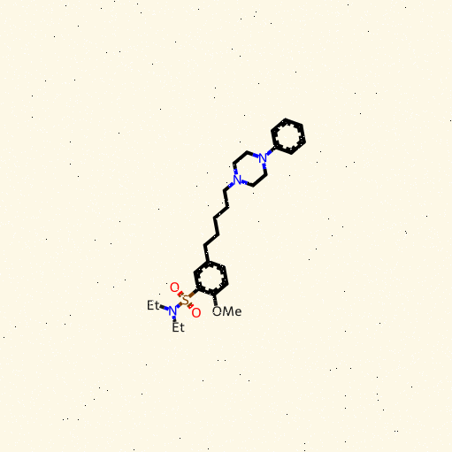 CCN(CC)S(=O)(=O)c1cc(CCCCCN2CCN(c3ccccc3)CC2)ccc1OC